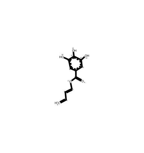 C=C/C=C/OC(=O)c1cc(O)c(O)c(O)c1